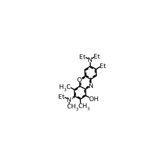 CCc1cc2nc3c(O)c(C)/c(=[N+](\C)CC)c(C)c-3oc2cc1N(CC)CC